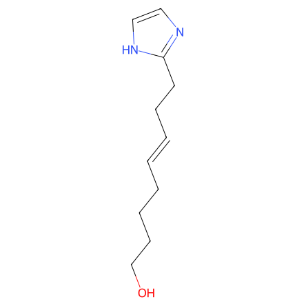 OCCCC/C=C/CCc1ncc[nH]1